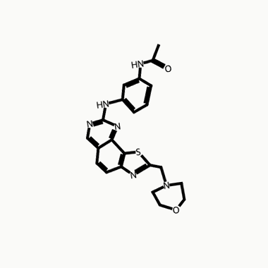 CC(=O)Nc1cccc(Nc2ncc3ccc4nc(CN5CCOCC5)sc4c3n2)c1